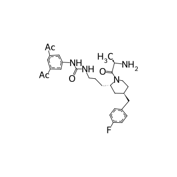 CC(=O)c1cc(NC(=O)NCCC[C@H]2C[C@H](Cc3ccc(F)cc3)CCN2C(=O)[C@@H](C)N)cc(C(C)=O)c1